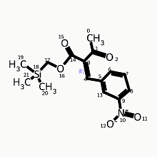 CC(=O)/C(=C\c1cccc([N+](=O)[O-])c1)C(=O)OC[Si](C)(C)C